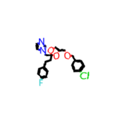 Fc1ccc(CCC2(Cn3ccnc3)OCC(COCc3ccc(Cl)cc3)O2)cc1